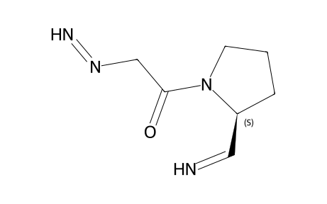 N=C[C@@H]1CCCN1C(=O)CN=N